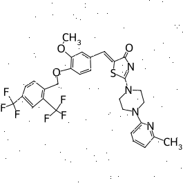 COc1cc(/C=C2\SC(N3CCN(c4cccc(C)n4)CC3)=NC2=O)ccc1OCc1ccc(C(F)(F)F)cc1C(F)(F)F